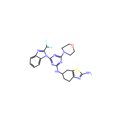 Nc1nc2c(s1)CC(Nc1nc(N3CCOCC3)nc(-n3c(C(F)F)nc4ccccc43)n1)CC2